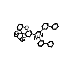 c1ccc(-c2cccc(-c3cc(-c4ccc5c(c4)Oc4ccccc4C54c5ccccc5-c5ccccc54)nc(-c4cccc(-c5ccccc5)c4)n3)c2)cc1